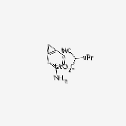 CCCC(C#N)C(=O)OCC.Nc1ccc2c(c1)C2